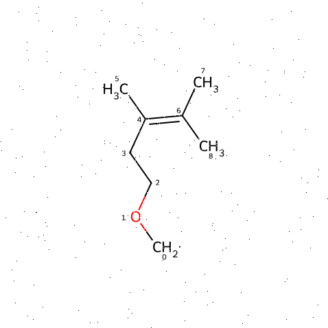 [CH2]OCCC(C)=C(C)C